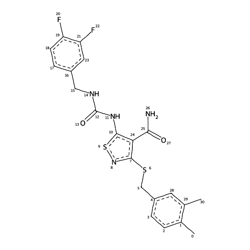 Cc1ccc(CSc2nsc(NC(=O)NCc3ccc(F)c(F)c3)c2C(N)=O)cc1C